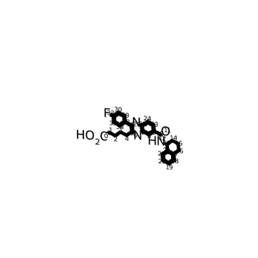 O=C(O)CCCCc1nc2cc(C(=O)N[C@H]3CCCc4ccccc43)ccc2nc1-c1ccc(F)cc1